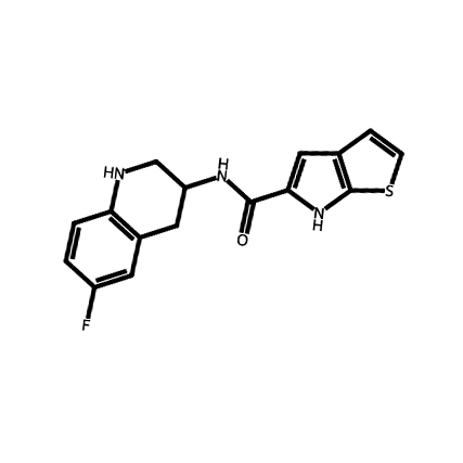 O=C(NC1CNc2ccc(F)cc2C1)c1cc2ccsc2[nH]1